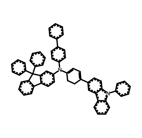 C1=C(c2ccc3c(c2)c2ccccc2n3-c2ccccc2)CCC(N(c2ccc(-c3ccccc3)cc2)c2ccc3c(c2)C(c2ccccc2)(c2ccccc2)c2ccccc2-3)=C1